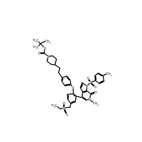 CCS(=O)(=O)Cc1ccc(Oc2ccc(CCC3CCN(C(=O)OC(C)(C)C)CC3)cc2)c(-c2cn(C)c(=O)c3c2ccn3S(=O)(=O)c2ccc(C)cc2)c1